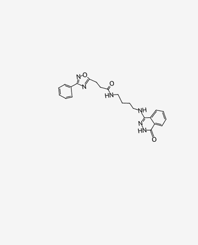 O=C(CCc1nc(-c2ccccc2)no1)NCCCCNc1n[nH]c(=O)c2ccccc12